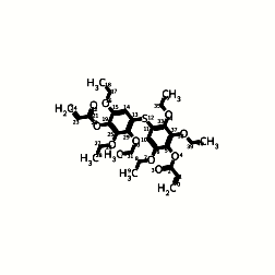 C=CC(=O)Oc1c(OCC)cc(Sc2cc(OCC)c(OC(=O)C=C)c(OCC)c2OCC)c(OCC)c1OCC